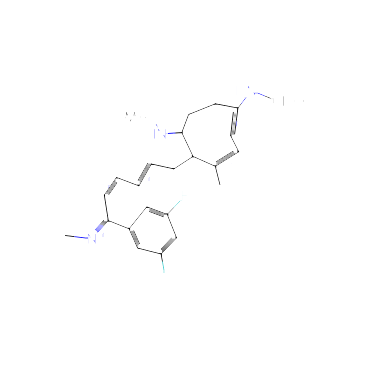 C\N=C(/C=C\C=C\CC1/C(C)=C\C=C(/NC=O)CCC1NSC)c1cc(F)cc(F)c1